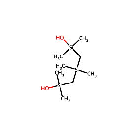 C[Si](C)(O)C[Si](C)(C)C[Si](C)(C)O